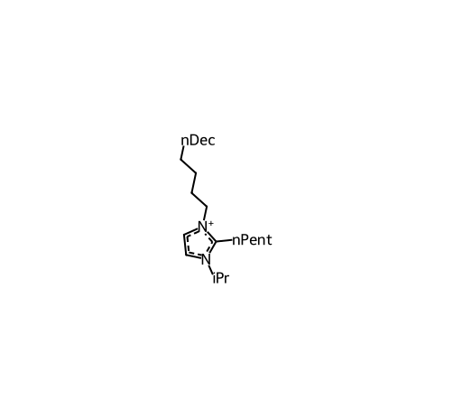 CCCCCCCCCCCCCC[n+]1ccn(C(C)C)c1CCCCC